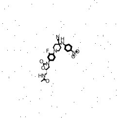 CC(=O)NC[C@H]1CN(c2ccc(N3CCC(C#N)(Nc4ccc([N+](=O)[O-])cc4)CC3)c(F)c2)C(=O)O1